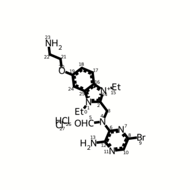 CCn1c(CN(C=O)c2nc(Br)cnc2N)[n+](CC)c2ccc(OCCN)cc21.Cl.[Cl-]